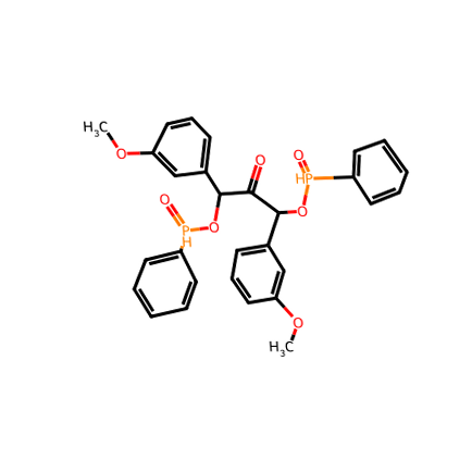 COc1cccc(C(O[PH](=O)c2ccccc2)C(=O)C(O[PH](=O)c2ccccc2)c2cccc(OC)c2)c1